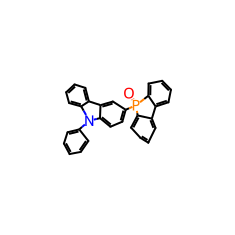 O=P1(c2ccc3c(c2)c2ccccc2n3-c2ccccc2)c2ccccc2-c2ccccc21